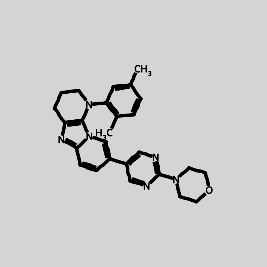 Cc1ccc(C)c(N2CCCc3nc4ccc(-c5cnc(N6CCOCC6)nc5)cn4c32)c1